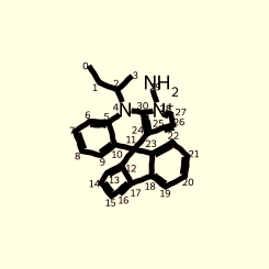 CCC(C)N1c2ccccc2C2(c3ccccc3-c3ccccc32)c2ccc[n+](N)c21